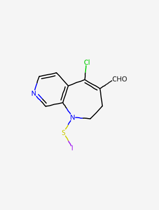 O=CC1=C(Cl)c2ccncc2N(SI)CC1